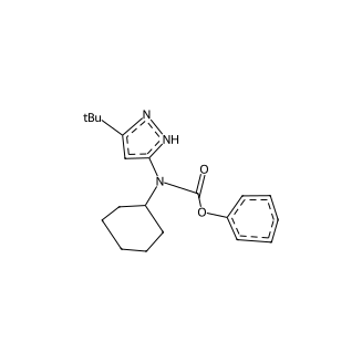 CC(C)(C)c1cc(N(C(=O)Oc2ccccc2)C2CCCCC2)[nH]n1